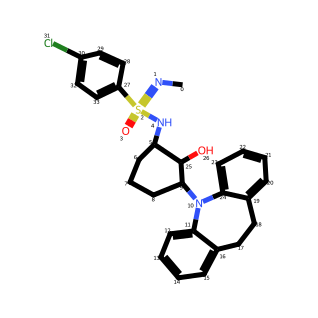 CN=S(=O)(NC1CCCC(N2c3ccccc3CCc3ccccc32)C1O)c1ccc(Cl)cc1